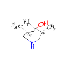 C[C@@H]1CNC[C@H](C)C1(C)O